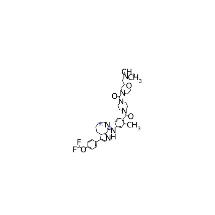 Cc1cc(N/C2=N/C=C\CCC3C(c4ccc(OC(F)F)cc4)=CN=C23)ccc1C(=O)N1CCN(C(=O)N2CCOC(CN(C)C)C2)CC1